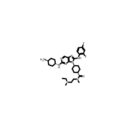 CCN(C)CCN(C)C(=O)[C@H]1CC[C@@H](n2c(Nc3ccc(F)cc3F)nc3cnc(N[C@H]4CC[C@H](N)CC4)nc32)CC1